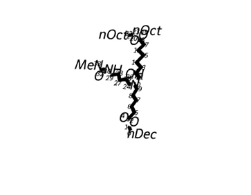 CCCCCCCCCCCOC(=O)CCCCCN(CCCCCCCC(=O)OC(CCCCCCCC)CCCCCCCC)CC(O)CCCNC(=O)NC